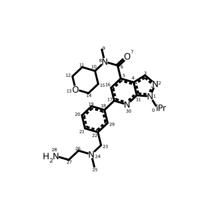 CC(C)n1ncc2c(C(=O)N(C)C3CCOCC3)cc(-c3cccc(CN(C)CCN)c3)nc21